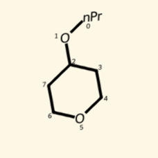 C[CH]COC1CCOCC1